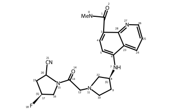 CNC(=O)c1ccc(N[C@H]2CCN(CC(=O)N3C[C@@H](F)CC3C#N)C2)c2cccnc12